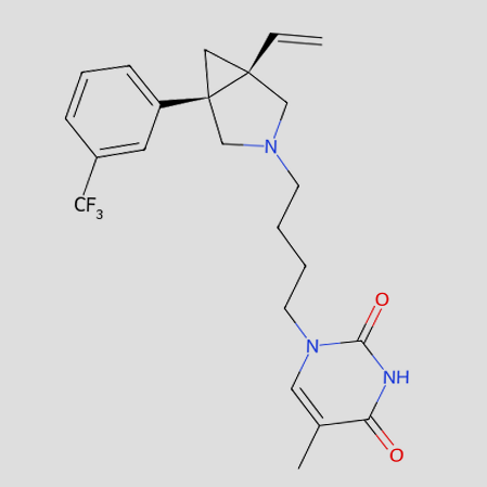 C=C[C@@]12CN(CCCCn3cc(C)c(=O)[nH]c3=O)C[C@]1(c1cccc(C(F)(F)F)c1)C2